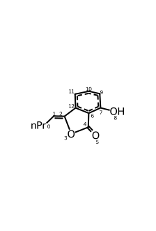 CCC/C=C1\OC(=O)c2c(O)cccc21